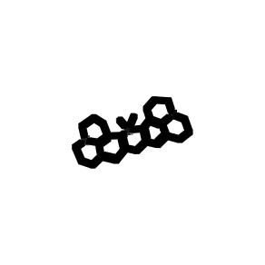 C[Si]1(C)c2c(cc3c4c2CCCN4CCC3)Cc2cc3c4c(c21)CCCN4CCC3